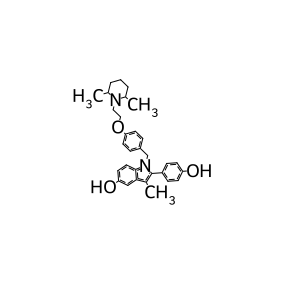 Cc1c(-c2ccc(O)cc2)n(Cc2ccc(OCCN3C(C)CCCC3C)cc2)c2ccc(O)cc12